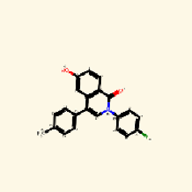 O=c1c2ccc(O)cc2c(-c2ccc(C(F)(F)F)cc2)cn1-c1ccc(F)cc1